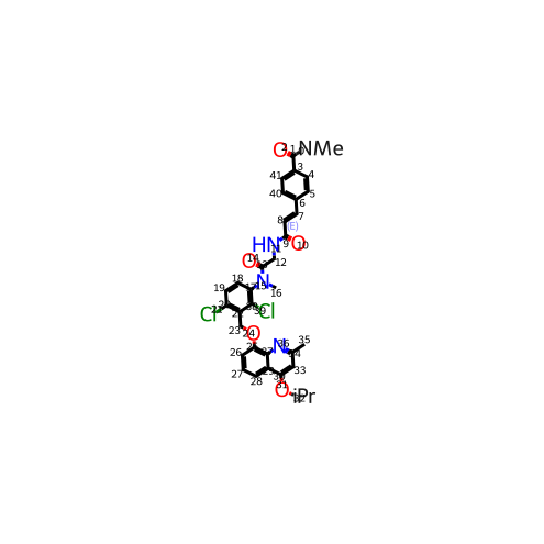 CNC(=O)c1ccc(/C=C/C(=O)NCC(=O)N(C)c2ccc(Cl)c(COc3cccc4c(OC(C)C)cc(C)nc34)c2Cl)cc1